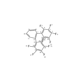 Fc1c(F)c(F)c(-c2[c]cccc2-c2c(F)c(F)c(F)c(F)c2F)c(F)c1F